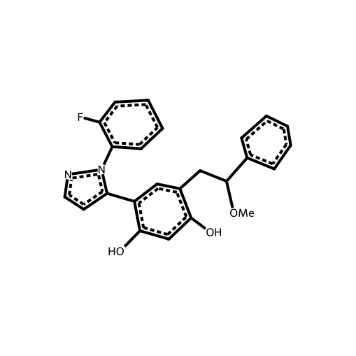 COC(Cc1cc(-c2ccnn2-c2ccccc2F)c(O)cc1O)c1ccccc1